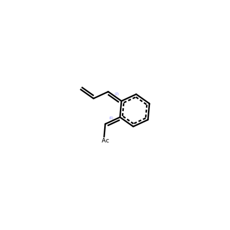 C=C/C=c1/cccc/c1=C\C(C)=O